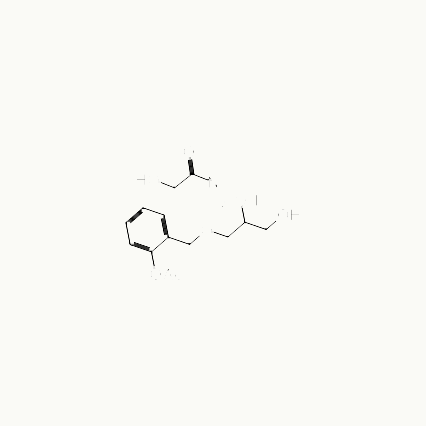 CC(=O)Oc1ccccc1COCC(O)CO.NC(=O)CO